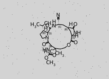 COC(=O)N[C@@H]1C(=O)N2CC[C@H](C(C)C)[C@H]2C(=O)N[C@H](C#N)C[C@@H]2C[C@H](NC2=O)C(=O)OCCC1(C)C